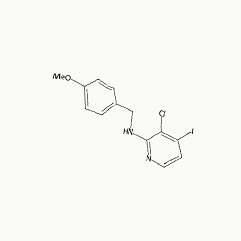 COc1ccc(CNc2nccc(I)c2Cl)cc1